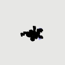 C=C/C=C\C(=C)N(/C(C=C)=C(/C=C\C)CC)c1cccc(-c2cc(C#N)ccc2-c2ccccc2-n2c3ccccc3c3cc(C#N)ccc32)c1